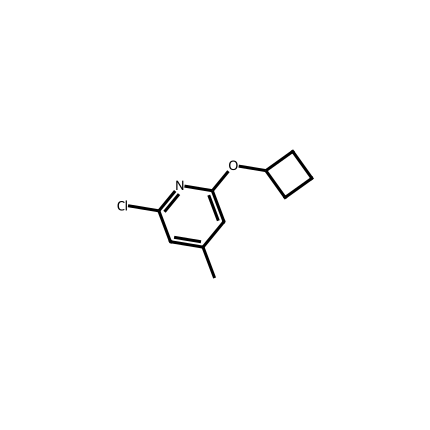 Cc1cc(Cl)nc(OC2CCC2)c1